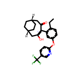 CCc1ccc(Oc2ccc(C(F)(F)F)cn2)cc1/C1=C(\O)C[C@H]2CC[C@H](CC2)CC1=O